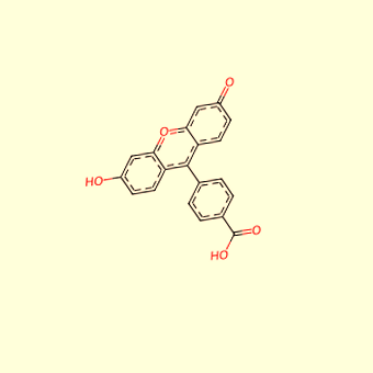 O=C(O)c1ccc(-c2c3ccc(=O)cc-3oc3cc(O)ccc23)cc1